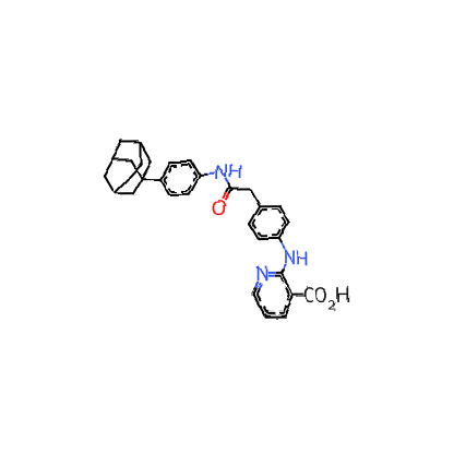 O=C(Cc1ccc(Nc2ncccc2C(=O)O)cc1)Nc1ccc(C23CC4CC(CC(C4)C2)C3)cc1